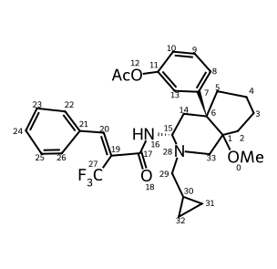 COC12CCCC[C@@]1(c1cccc(OC(C)=O)c1)C[C@@H](NC(=O)C(=Cc1ccccc1)C(F)(F)F)N(CC1CC1)C2